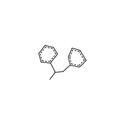 CC(Cc1ccccc1)c1ccccc1